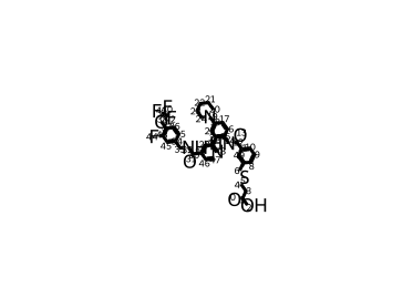 O=C(O)CCSCc1cccc(C(=O)Nc2ccc(N3CCCCC3)cc2-c2cc(C(=O)NCc3ccc(OC(F)(F)F)c(F)c3)ccn2)c1